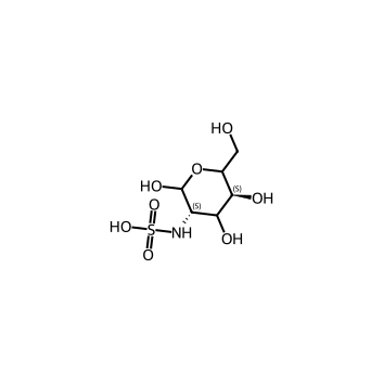 O=S(=O)(O)N[C@@H]1C(O)OC(CO)[C@@H](O)C1O